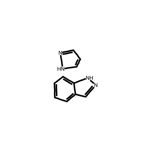 c1ccc2[nH]ncc2c1.c1cn[nH]c1